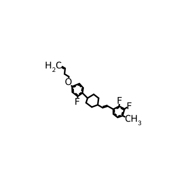 C=CCCOc1ccc(C2CCC(/C=C/c3ccc(C)c(F)c3F)CC2)c(F)c1